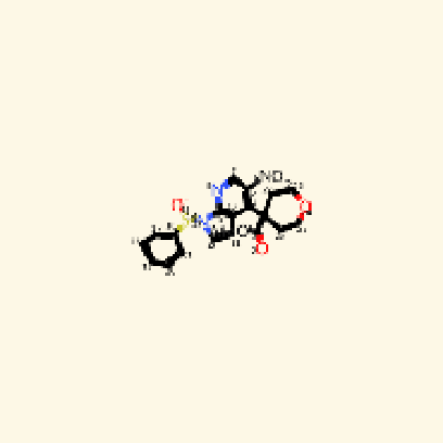 COC(=O)C1(c2c([N+](=O)[O-])cnc3c2ccn3[S+]([O-])c2ccccc2)CCOCC1